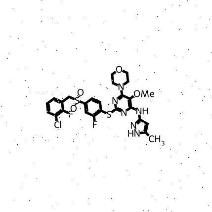 COc1c(Nc2cc(C)[nH]n2)nc(Sc2ccc(S(=O)(=O)Cc3cccc(Cl)c3F)cc2F)nc1N1CCOCC1